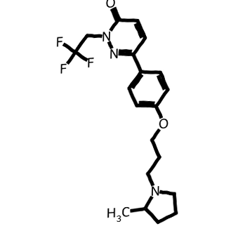 CC1CCCN1CCCOc1ccc(-c2ccc(=O)n(CC(F)(F)F)n2)cc1